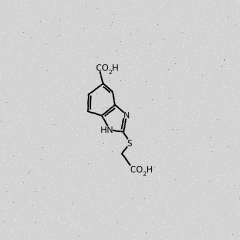 O=C(O)CSc1nc2cc(C(=O)O)ccc2[nH]1